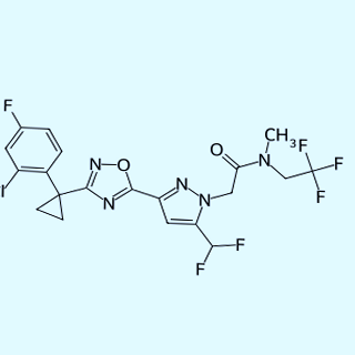 CN(CC(F)(F)F)C(=O)Cn1nc(-c2nc(C3(c4ccc(F)cc4Cl)CC3)no2)cc1C(F)F